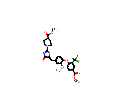 COC(=O)c1ccc(Oc2ccc(/C=C3\SC(N4CCC(C(=O)OC)CC4)=NC3=O)cc2OC)c(C(F)(F)F)c1